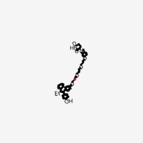 CCC(=C(c1ccc(O)cc1)c1ccc(OCCCOCCCOCCCOc2ccc3c(c2)CN(C2CCC(=O)NC2=O)C3)cc1)c1ccccc1